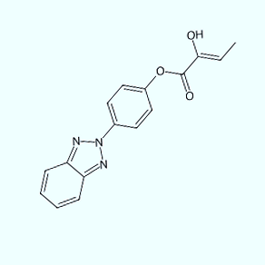 CC=C(O)C(=O)Oc1ccc(-n2nc3ccccc3n2)cc1